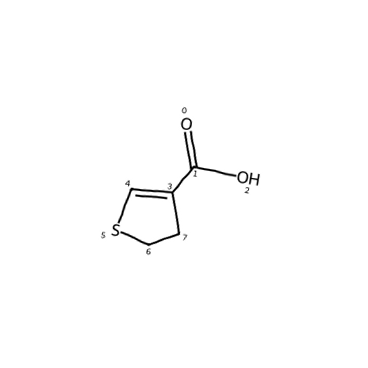 O=C(O)C1=CSCC1